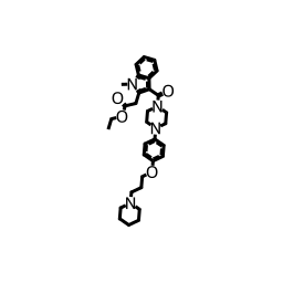 CCOC(=O)Cc1c(C(=O)N2CCN(c3ccc(OCCCN4CCCCC4)cc3)CC2)c2ccccc2n1C